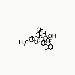 Cc1ccn([C@H](CC(C)C)C(=O)N[C@@H](CC(=O)O)c2cccc(-c3c(F)cccc3F)n2)c(=O)c1